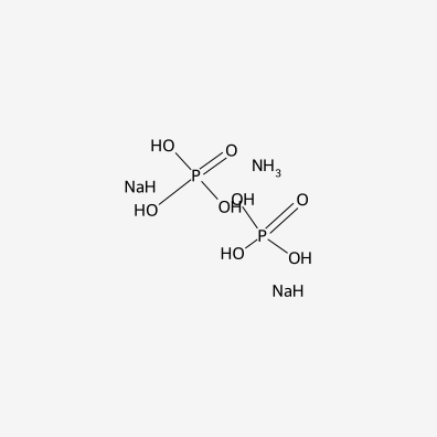 N.O=P(O)(O)O.O=P(O)(O)O.[NaH].[NaH]